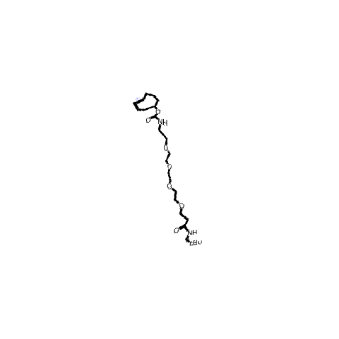 CC(C)(C)CNC(=O)CCOCCOCCOCCOCCNC(=O)OC1CC/C=C/CCC1